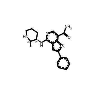 C[C@H]1NCCC[C@H]1Nc1ncc(C(N)=O)c2sc(-c3ccccc3)cc12